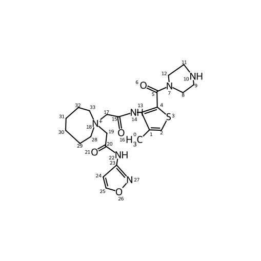 Cc1csc(C(=O)N2CCNCC2)c1NC(=O)C[N+]1(CC(=O)Nc2ccon2)CCCCCC1